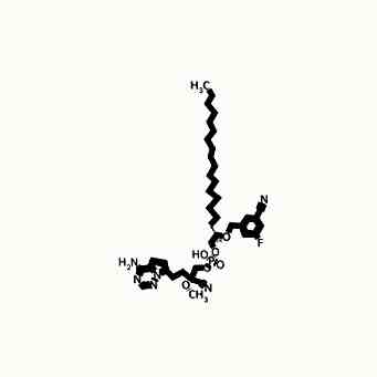 CCCCCCCCCCCCCCCCC[C@@H](COP(=O)(O)OCC(C#N)(CCc1ccc2c(N)ncnn12)OC)OCc1cc(F)cc(C#N)c1